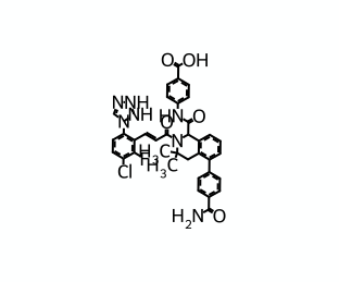 CC1(C)Cc2c(-c3ccc(C(N)=O)cc3)cccc2C(C(=O)Nc2ccc(C(=O)O)cc2)N1C(=O)/C=C/c1c(N2C=NNN2)ccc(Cl)c1F